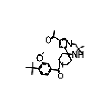 COc1cc(C(=O)N2CCC3(CC2)NC(C)(C)Cn2cc(C(C)=O)cc23)ccc1C(C)(C)C